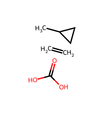 C=C.CC1CC1.O=C(O)O